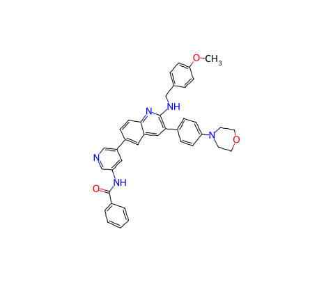 COc1ccc(CNc2nc3ccc(-c4cncc(NC(=O)c5ccccc5)c4)cc3cc2-c2ccc(N3CCOCC3)cc2)cc1